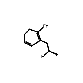 CCC1=C(CC(F)F)C=CCC1